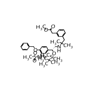 COC(=O)Cc1cccc(CC(C)(C)NC[C@H](O[Si](C)(C)C(C)(C)C)c2ccc(OCc3ccccc3)c(NS(C)(=O)=O)c2)c1